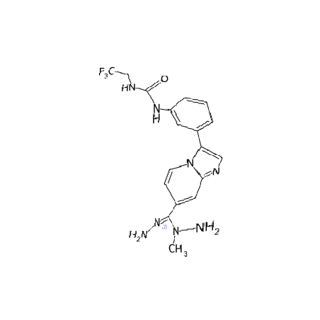 CN(N)/C(=N\N)c1ccn2c(-c3cccc(NC(=O)NCC(F)(F)F)c3)cnc2c1